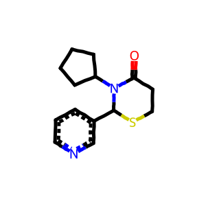 O=C1CCSC(c2cccnc2)N1C1CCCC1